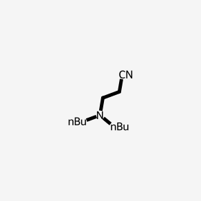 CCCCN(CCC#N)CCCC